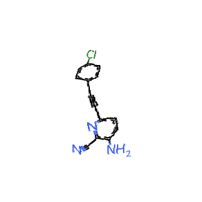 N#Cc1nc(C#Cc2ccc(Cl)cc2)ccc1N